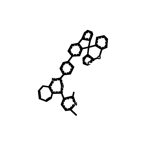 Cc1ccc(-c2nc(-c3ccc(-c4ccc5c(c4)C4(c6ccccc6Oc6ccccc64)c4ccccc4-5)cc3)nc3c2C=CC=CC3)c(C)n1